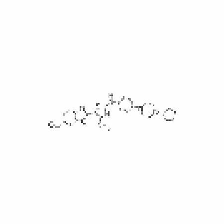 Nc1nc(Nc2ccc(N3CCN(C4CCCC4)CC3)cc2)sc1C1Oc2ccc(C=O)cc2O1